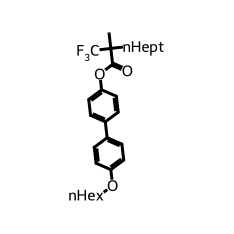 CCCCCCCC(C)(C(=O)Oc1ccc(-c2ccc(OCCCCCC)cc2)cc1)C(F)(F)F